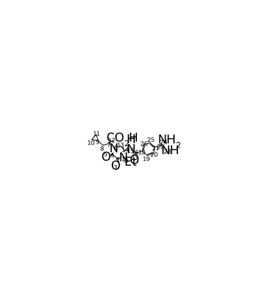 CCN1C(=O)C(=O)N(C(CC2CC2)C(=O)O)CC1NC(=O)c1ccc(C(=N)N)cc1